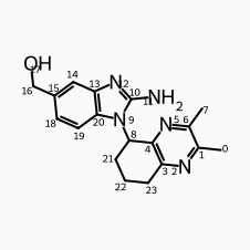 Cc1nc2c(nc1C)C(n1c(N)nc3cc(CO)ccc31)CCC2